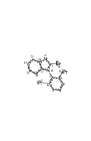 CC(C)c1cccc(C(C)C)c1-n1c(Br)nc2ccccc21